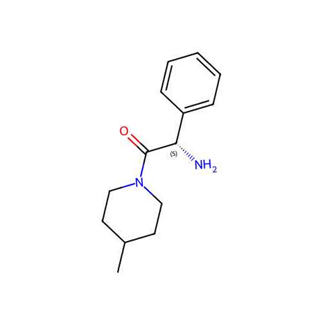 CC1CCN(C(=O)[C@@H](N)c2ccccc2)CC1